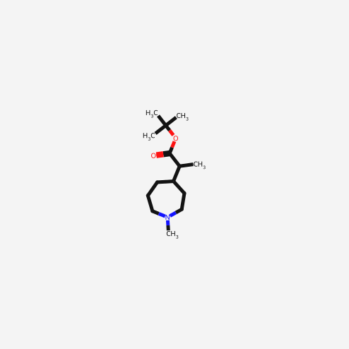 CC(C(=O)OC(C)(C)C)C1CCCN(C)CC1